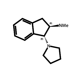 CN[C@@H]1Cc2ccccc2[C@H]1N1CCCC1